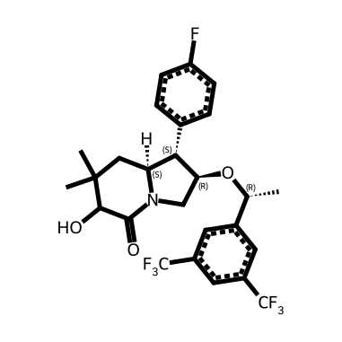 C[C@@H](O[C@H]1CN2C(=O)C(O)C(C)(C)C[C@H]2[C@@H]1c1ccc(F)cc1)c1cc(C(F)(F)F)cc(C(F)(F)F)c1